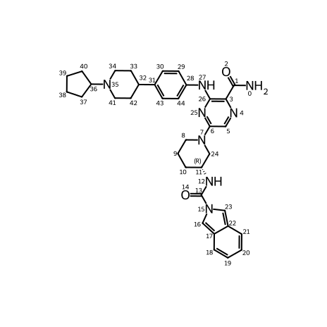 NC(=O)c1ncc(N2CCC[C@@H](NC(=O)n3cc4ccccc4c3)C2)nc1Nc1ccc(C2CCN(C3CCCC3)CC2)cc1